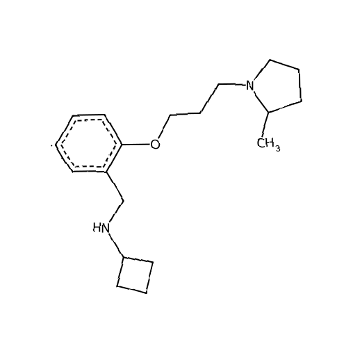 CC1CCCN1CCCOc1cc[c]cc1CNC1CCC1